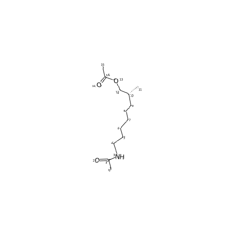 CC(=O)NCCCCCC[C@@H](C)COC(C)=O